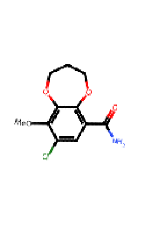 COc1c(Cl)cc(C(N)=O)c2c1OCCCO2